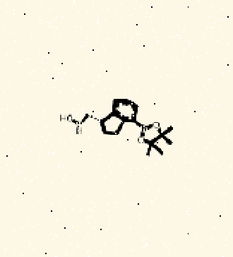 CC1(C)OB(c2cccc3c2CC[C@@H]3CPO)OC1(C)C